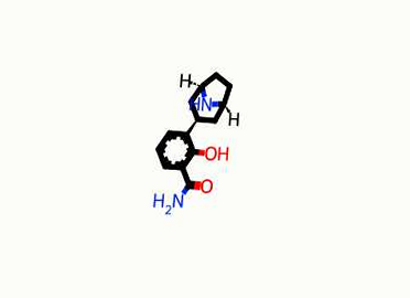 NC(=O)c1cccc([C@H]2C[C@H]3CC[C@@H](C2)N3)c1O